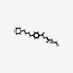 C/C(=C\N=C(/C)c1ccc(CCCCN2CCOCC2)cc1)CNC=O